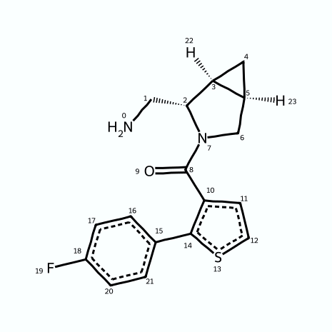 NC[C@@H]1[C@H]2C[C@H]2CN1C(=O)c1ccsc1-c1ccc(F)cc1